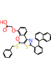 O=C(O)COc1cccc2c1OC(SCc1ccccc1)c1sc(-c3ccccc3-c3cccc4ccccc34)nc1-2